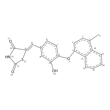 Cc1ccc(Oc2ccc(/C=C3\SC(=O)NC3=O)cc2O)c2ccccc12